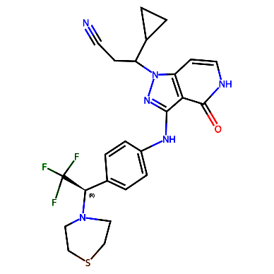 N#CCC(C1CC1)n1nc(Nc2ccc([C@@H](N3CCSCC3)C(F)(F)F)cc2)c2c(=O)[nH]ccc21